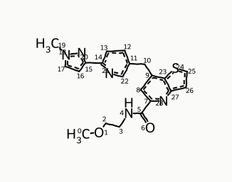 COCCNC(=O)c1cc(Cc2ccc(-c3ccn(C)n3)nc2)c2sccc2n1